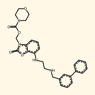 O=C(OCn1c(=O)oc2c(NCCNCc3cccc(-c4ccccc4)c3)cccc21)N1CCOCC1